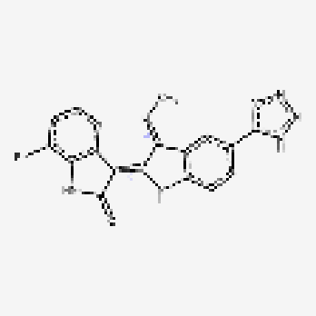 C/N=C1/C(=C2/C(=O)Nc3c(Br)cccc32)Nc2ccc(-c3nnn[nH]3)cc21